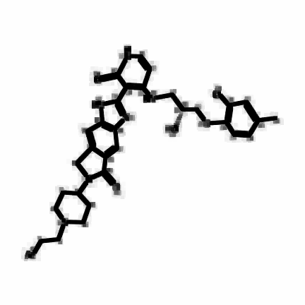 CC(=O)CCN1CCC(N2Cc3cc4[nH]c(-c5c(NC[C@@H](O)COc6ccc(C)cc6Cl)cc[nH]c5=O)nc4cc3C2=O)CC1